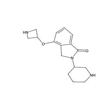 O=C1c2cccc(OC3CNC3)c2CN1C1CCCNC1